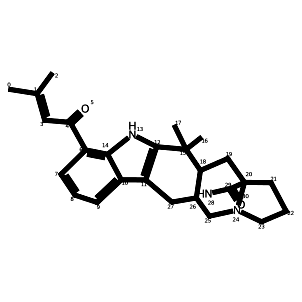 CC(C)=CC(=O)c1cccc2c3c([nH]c12)C(C)(C)C1CC24CCCN2CC1(C3)NC4=O